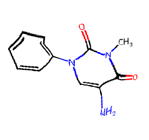 Cn1c(=O)c(N)cn(-c2ccccc2)c1=O